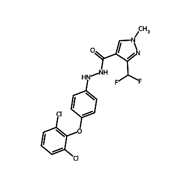 Cn1cc(C(=O)NNc2ccc(Oc3c(Cl)cccc3Cl)cc2)c(C(F)F)n1